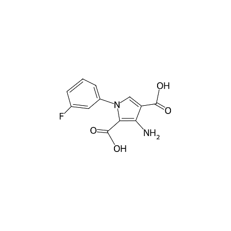 Nc1c(C(=O)O)cn(-c2cccc(F)c2)c1C(=O)O